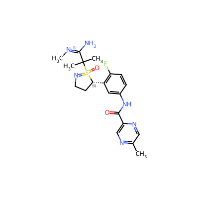 C/N=C(/N)C(C)(C)S1(=O)=NCC[C@H]1c1cc(NC(=O)c2cnc(C)cn2)ccc1F